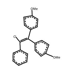 COc1ccc(C(=C(Cl)c2ccccc2)c2ccc(OC)cc2)cc1